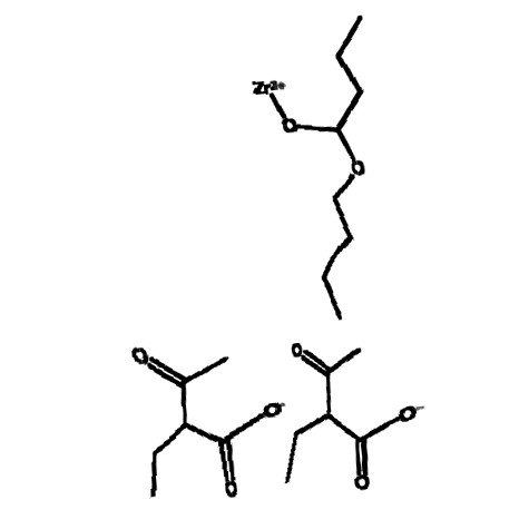 CCC(C(C)=O)C(=O)[O-].CCC(C(C)=O)C(=O)[O-].CCCCOC(CCC)[O][Zr+2]